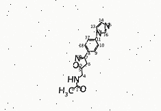 CC(=O)NCC1CC(c2ccc(-n3ccnc3)cc2)=NO1